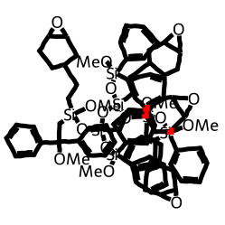 COC(C[Si](CCC1CCC2OC2C1)(OC)O[Si](CCC1CCC2OC2C1)(O[Si](CCC1CCC2OC2C1)(O[Si](CCC1CCC2OC2C1)(OC)O[Si](OC)(c1ccccc1)c1ccccc1)O[Si](OC)(c1ccccc1)c1ccccc1)O[Si](OC)(c1ccccc1)c1ccccc1)(c1ccccc1)c1ccccc1